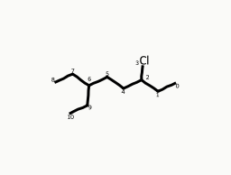 CCC(Cl)CCC(CC)CC